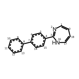 C1=CN=C(c2ccc(-c3ccccc3)cc2)NC=C1